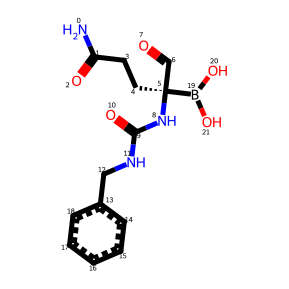 NC(=O)CC[C@@](C=O)(NC(=O)NCc1ccccc1)B(O)O